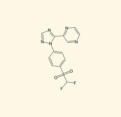 O=S(=O)(c1ccc(-n2ncnc2-c2cnccn2)cc1)C(F)F